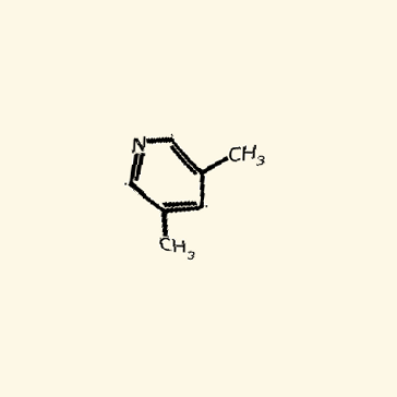 Cc1[c]n[c]c(C)[c]1